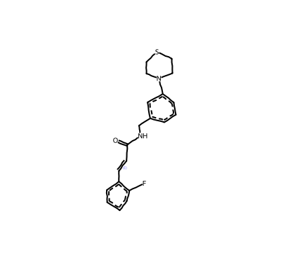 O=C(/C=C/c1ccccc1F)NCc1cccc(N2CCSCC2)c1